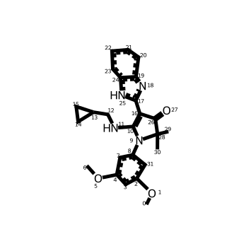 COc1cc(OC)cc(N2C(NCC3CC3)=C(c3nc4ccccc4[nH]3)C(=O)C2(C)C)c1